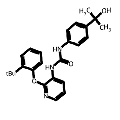 CC(C)(C)c1ccccc1Oc1ncccc1NC(=O)Nc1ccc(C(C)(C)O)cc1